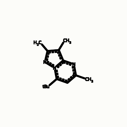 Cc1cc(C(C)(C)C)n2nc(C)c(C)c2n1